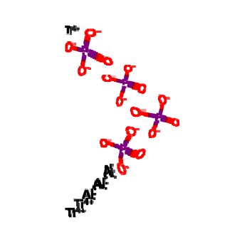 O=P([O-])([O-])[O-].O=P([O-])([O-])[O-].O=P([O-])([O-])[O-].O=P([O-])([O-])[O-].[Al].[Al].[Al].[Ti+4].[Ti+4].[Ti+4]